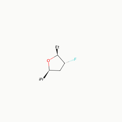 CC[C@@H]1O[C@H](C(C)C)C[C@H]1F